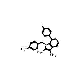 Cc1ccc(Cn2c(C)c(C)c3ccnc(-c4ccc(F)cc4)c32)cc1